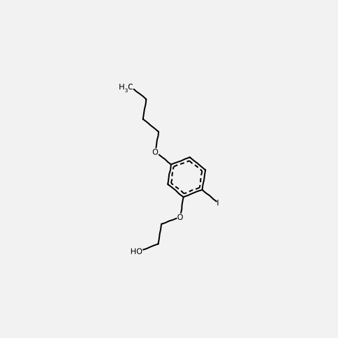 CCCCOc1ccc(I)c(OCCO)c1